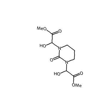 COC(=O)C(O)N1CCCN(C(O)C(=O)OC)C1=O